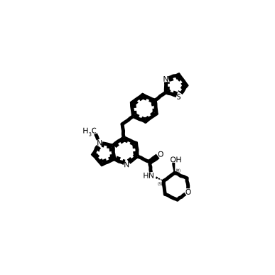 Cn1ccc2nc(C(=O)N[C@H]3CCOC[C@@H]3O)cc(Cc3ccc(-c4nccs4)cc3)c21